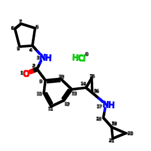 Cl.O=C(NC1CCCC1)c1cccc(C2CC2NCC2CC2)c1